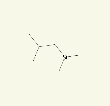 CC(C)C[Si](C)C